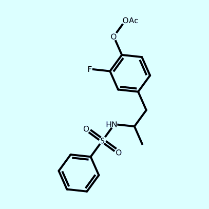 CC(=O)OOc1ccc(CC(C)NS(=O)(=O)c2ccccc2)cc1F